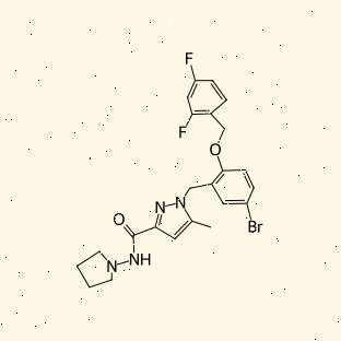 Cc1cc(C(=O)NN2CCCC2)nn1Cc1cc(Br)ccc1OCc1ccc(F)cc1F